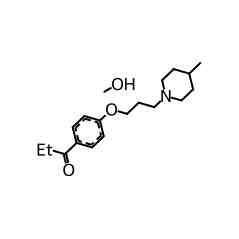 CCC(=O)c1ccc(OCCCN2CCC(C)CC2)cc1.CO